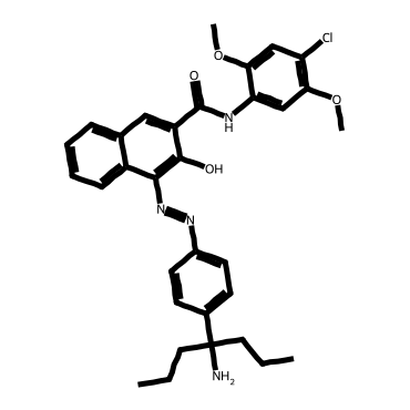 CCCC(N)(CCC)c1ccc(N=Nc2c(O)c(C(=O)Nc3cc(OC)c(Cl)cc3OC)cc3ccccc23)cc1